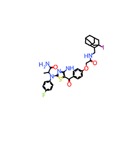 CC(C(N)=O)N(c1ccc(F)cc1)c1nc(N)c(C(=O)c2ccc(OCC(=O)NCC3C4CC5CC(C4)CC3(I)C5)cc2)s1